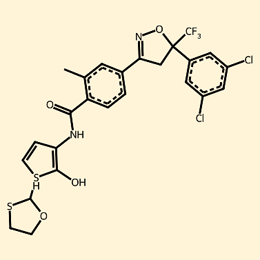 Cc1cc(C2=NOC(c3cc(Cl)cc(Cl)c3)(C(F)(F)F)C2)ccc1C(=O)NC1=C(O)[SH](C2OCCS2)C=C1